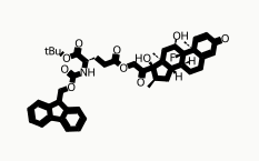 C[C@@H]1C[C@H]2[C@@H]3CCC4=CC(=O)C=C[C@]4(C)[C@@]3(F)[C@@H](O)C[C@]2(C)[C@@]1(O)C(=O)COC(=O)CC[C@H](NC(=O)OCC1c2ccccc2-c2ccccc21)C(=O)OC(C)(C)C